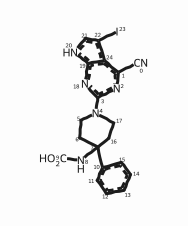 N#Cc1nc(N2CCC(NC(=O)O)(c3ccccc3)CC2)nc2[nH]cc(I)c12